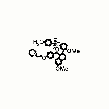 COc1ccc2c(c1)CCC(c1ccccc1OC)=C2C(OOS(=O)(=O)c1ccc(C)cc1)c1ccc(OCCN2CCCCC2)cc1